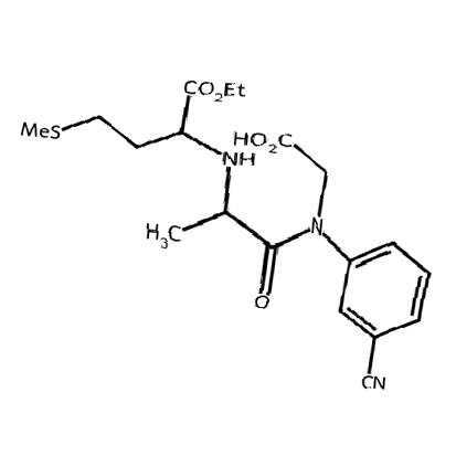 CCOC(=O)C(CCSC)NC(C)C(=O)N(CC(=O)O)c1cccc(C#N)c1